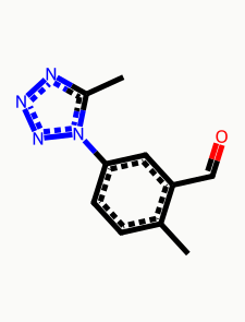 Cc1ccc(-n2nnnc2C)cc1C=O